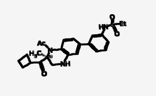 CCS(=O)(=O)Nc1cccc(-c2ccc3c(c2)NC[C@@](C)(C(=O)C2CCC2)N3C(C)=O)c1